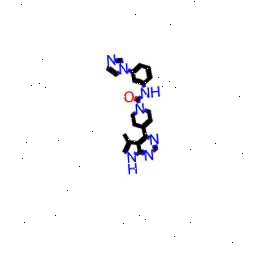 Cc1c[nH]c2ncnc(C3=CCN(C(=O)Nc4cccc(-n5ccnc5)c4)CC3)c12